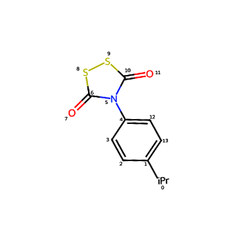 CC(C)c1ccc(-n2c(=O)ssc2=O)cc1